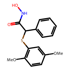 COc1ccc(OC)c(SC(C(=O)NO)c2ccccc2)c1